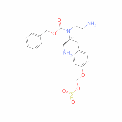 NCCN(C(=O)OCc1ccccc1)[C@H](CN)Cc1ccc(OCO[SH](=O)=O)cc1